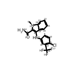 Cn1c(C(N)=O)c(Nc2ccc(Cl)c(C(F)(F)F)c2)c2ccccc21